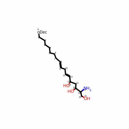 CCCCCCCCCCCCCCCCC/C=C/C/C=C/C(O)CC(O)C(N)CO